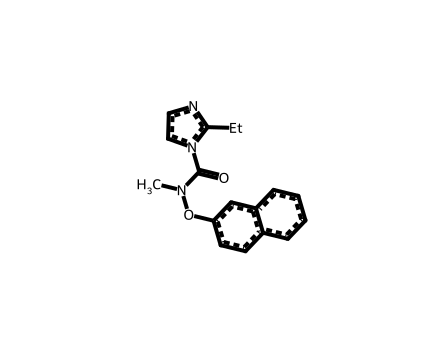 CCc1nccn1C(=O)N(C)Oc1ccc2ccccc2c1